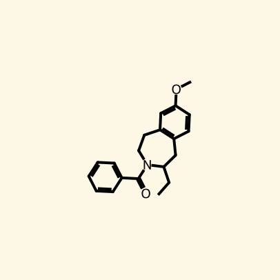 CCC1Cc2ccc(OC)cc2CCN1C(=O)c1ccccc1